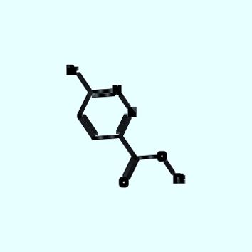 CCOC(=O)c1ccc(Br)nn1